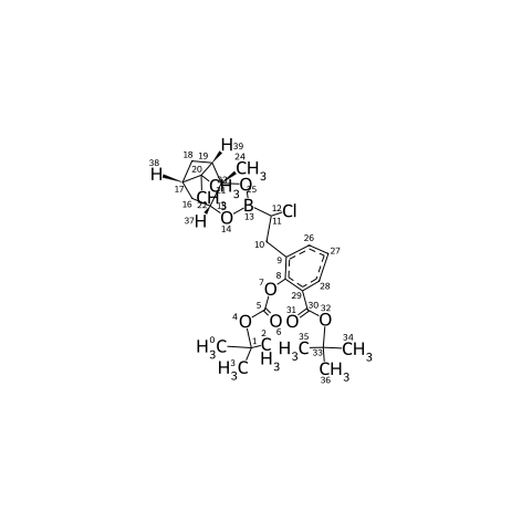 CC(C)(C)OC(=O)Oc1c(CC(Cl)B2O[C@@H]3C[C@@H]4C[C@@H](C4(C)C)[C@]3(C)O2)cccc1C(=O)OC(C)(C)C